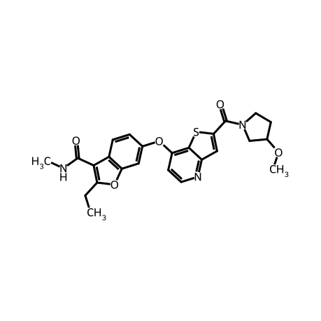 CCc1oc2cc(Oc3ccnc4cc(C(=O)N5CCC(OC)C5)sc34)ccc2c1C(=O)NC